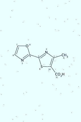 Cc1nc(-c2ncco2)sc1C(=O)O